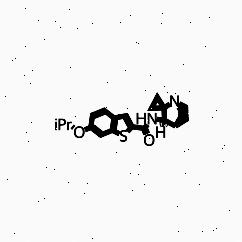 CC(C)Oc1ccc2cc(C(=O)N[C@@H]3C4CCN(CC4)C34CC4)sc2c1